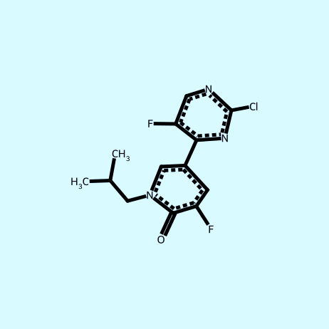 CC(C)Cn1cc(-c2nc(Cl)ncc2F)cc(F)c1=O